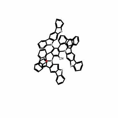 N#Cc1c(-n2c3ccccc3c3cc4c(cc32)sc2ccccc24)c(-c2cccc3c2sc2ccccc23)c(-n2c3ccccc3c3cc4c(cc32)sc2ccccc24)c(-c2cccc3c2sc2ccccc23)c1-n1c2ccccc2c2cc3c(cc21)sc1ccccc13